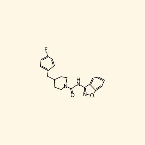 O=C(Nc1noc2ccccc12)N1CCC(Cc2ccc(F)cc2)CC1